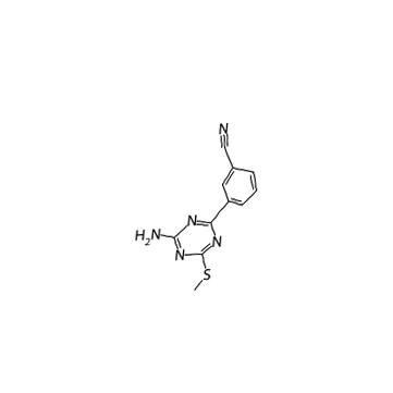 CSc1nc(N)nc(-c2cccc(C#N)c2)n1